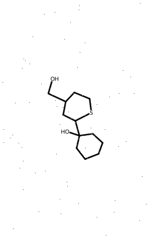 OCC1CCSC(C2(O)CCCCC2)C1